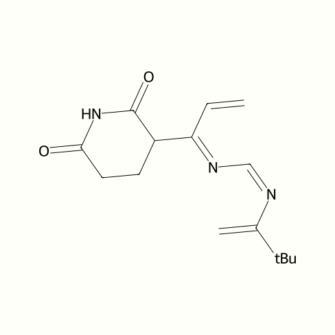 C=C/C(=N\C=N/C(=C)C(C)(C)C)C1CCC(=O)NC1=O